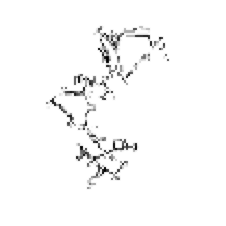 COc1ccn2c(C(=O)Nc3cccc(C#C[C@]4(O)CCN(C)C4=O)c3)ncc2c1